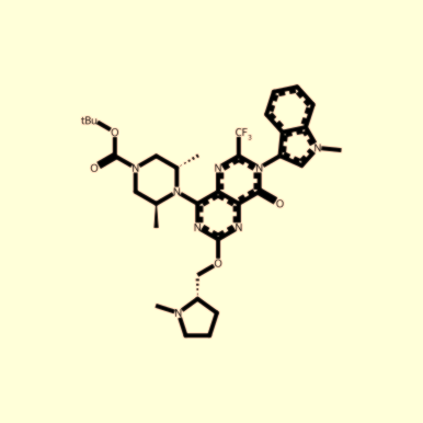 C[C@H]1CN(C(=O)OC(C)(C)C)C[C@H](C)N1c1nc(OC[C@@H]2CCCN2C)nc2c(=O)n(-c3cn(C)c4ccccc34)c(C(F)(F)F)nc12